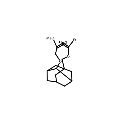 CCC(=O)OCC12CC3CC(C1)C(OCC(=O)OC)C(C3)C2